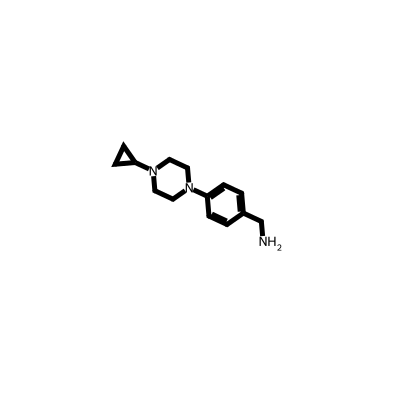 NCc1ccc(N2CCN(C3CC3)CC2)cc1